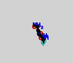 NC(=O)c1cccc(-c2ccc(N3CCCC(NC(=O)Nc4ccc(C(F)(F)F)cc4)C3=O)cc2)c1